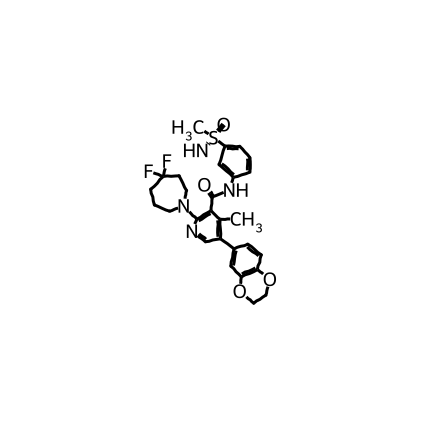 Cc1c(-c2ccc3c(c2)OCCO3)cnc(N2CCCC(F)(F)CC2)c1C(=O)Nc1cccc(S(C)(=N)=O)c1